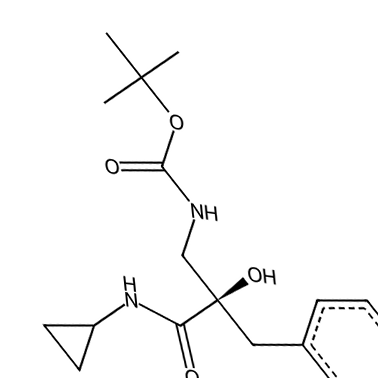 CC(C)(C)OC(=O)NC[C@](O)(Cc1ccccc1)C(=O)NC1CC1